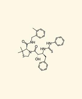 Cc1ccccc1CNC(=O)[C@H]1N(C(=O)[C@@H](O)[C@H](Cc2ccccc2)NC(=S)Nc2ccccc2)CSC1(C)C